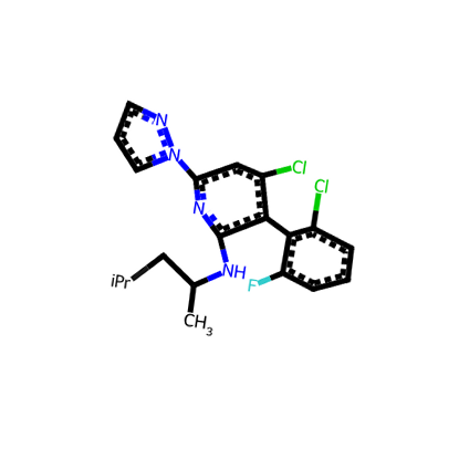 CC(C)CC(C)Nc1nc(-n2cccn2)cc(Cl)c1-c1c(F)cccc1Cl